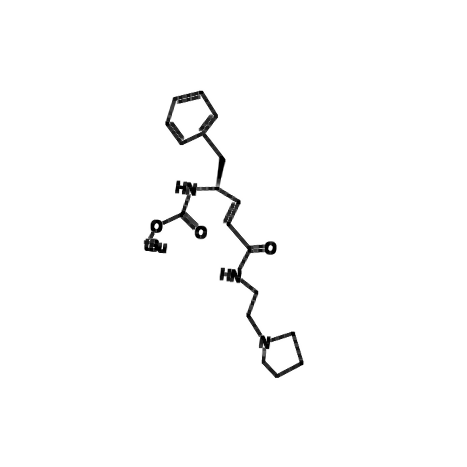 CC(C)(C)OC(=O)N[C@H](/C=C/C(=O)NCCN1CCCC1)Cc1ccccc1